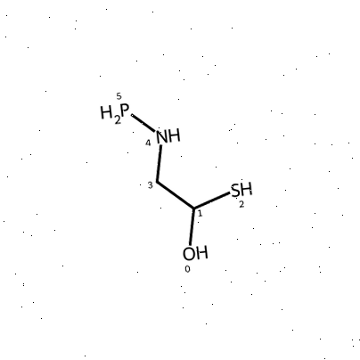 OC(S)CNP